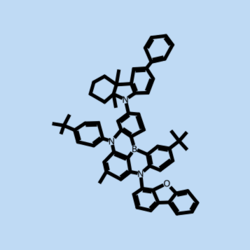 Cc1cc2c3c(c1)N(c1cccc4c1oc1ccccc14)c1ccc(C(C)(C)C)cc1B3c1ccc(N3c4ccc(-c5ccccc5)cc4C4(C)CCCCC34C)cc1N2c1ccc(C(C)(C)C)cc1